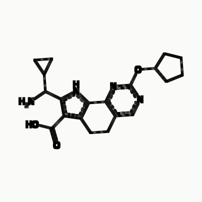 NC(c1[nH]c2c(c1C(=O)O)CCc1cnc(OC3CCCC3)nc1-2)C1CC1